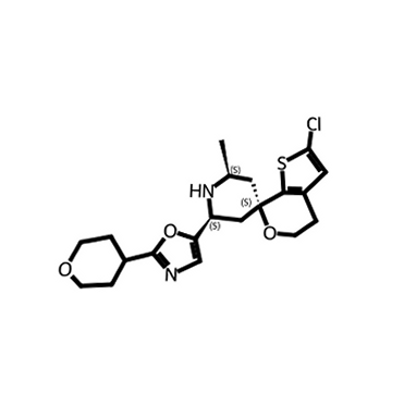 C[C@H]1C[C@@]2(C[C@@H](c3cnc(C4CCOCC4)o3)N1)OCCc1cc(Cl)sc12